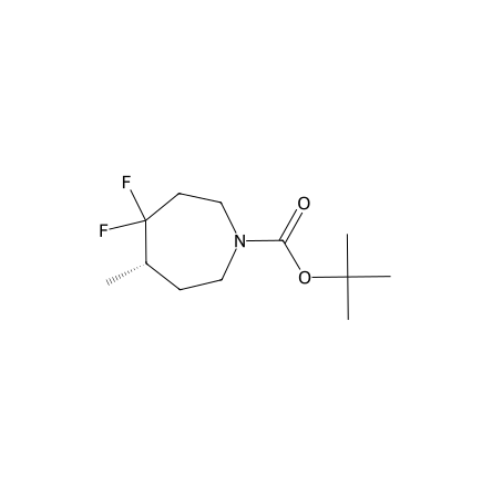 C[C@H]1CCN(C(=O)OC(C)(C)C)CCC1(F)F